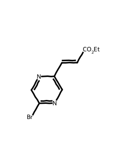 CCOC(=O)C=Cc1cnc(Br)cn1